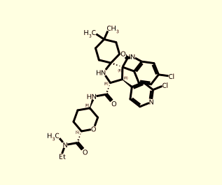 CCN(C)C(=O)[C@@H]1CC[C@@H](NC(=O)[C@@H]2NC3(CCC(C)(C)CC3)[C@@]3(C(=O)Nc4cc(Cl)ccc43)[C@H]2c2ccnc(Cl)c2)CO1